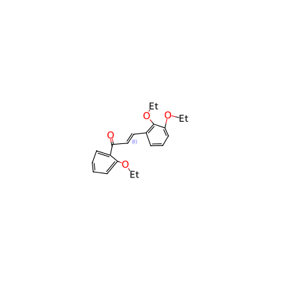 CCOc1ccccc1C(=O)/C=C/c1cccc(OCC)c1OCC